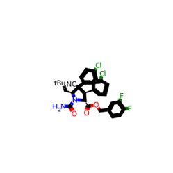 CC(C)(C)C[C@@H]1N(C(N)=O)[C@@H](C(=O)OCc2ccc(F)c(F)c2)[C@H](c2cccc(Cl)c2)[C@@]1(C#N)c1ccc(Cl)cc1